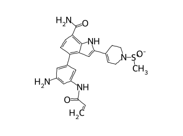 C=CC(=O)Nc1cc(N)cc(-c2ccc(C(N)=O)c3[nH]c(C4=CCN([S+](C)[O-])CC4)cc23)c1